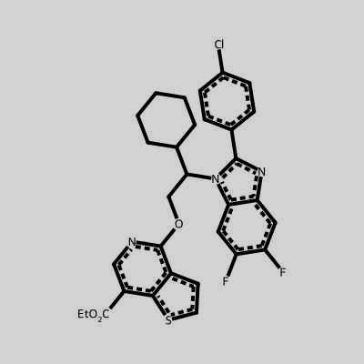 CCOC(=O)c1cnc(OCC(C2CCCCC2)n2c(-c3ccc(Cl)cc3)nc3cc(F)c(F)cc32)c2ccsc12